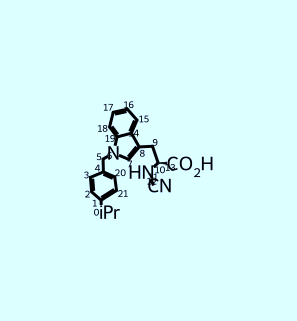 CC(C)c1ccc(Cn2cc(C[C@H](NC#N)C(=O)O)c3ccccc32)cc1